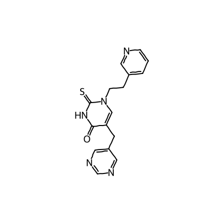 O=c1[nH]c(=S)n(CCc2cccnc2)cc1Cc1cncnc1